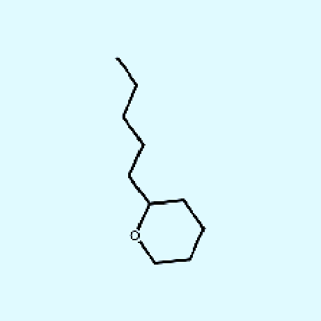 CCCCCC1CCCCO1